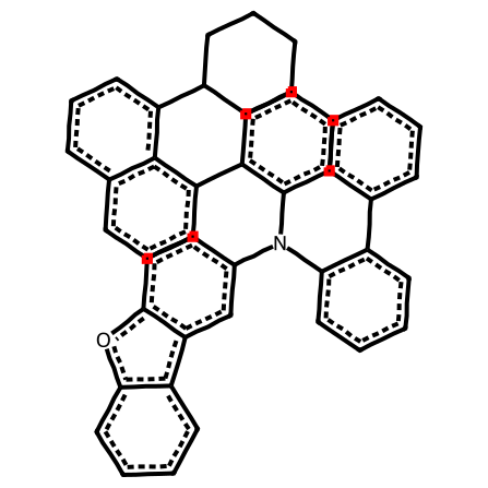 c1ccc(-c2ccccc2N(c2ccc3oc4ccccc4c3c2)c2ccccc2-c2cccc3cccc(C4CCCCC4)c23)cc1